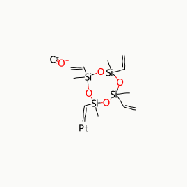 C=C[Si]1(C)O[Si](C)(C=C)O[Si](C)(C=C)O[Si](C)(C=C)O1.[C-]#[O+].[Pt]